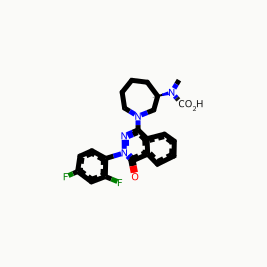 CN(C(=O)O)[C@@H]1CCCCN(c2nn(-c3ccc(F)cc3F)c(=O)c3ccccc23)C1